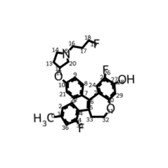 Cc1ccc(C2=C(c3ccc(O[C@H]4CCN(CCCF)C4)cc3)c3cc(F)c(O)cc3OCC2)c(F)c1